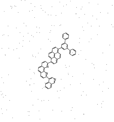 c1ccc(-c2cc(-c3ccccc3)cc(-c3ccc4ccc5c(-c6ccc7ccc8ccc(-c9cncc%10ccccc9%10)nc8c7n6)ccc6ccc3c4c65)c2)cc1